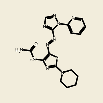 NC(=O)Nc1nc(N2CCCCC2)sc1/N=N/c1ncnn1-c1ccccn1